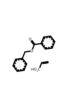 C=CC(=O)O.O=C(OCc1ccccc1)c1ccccc1